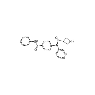 O=C(Nc1ccccc1)c1ccc(N(C(=O)C2CNC2)c2cccnn2)cc1